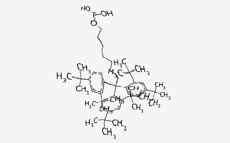 CC(C)(C)c1ccc(C(CCCCCCCOP(O)O)(c2ccc(C(C)(C)C)cc2C(C)(C)C)c2ccc(C(C)(C)C)cc2C(C)(C)C)c(C(C)(C)C)c1